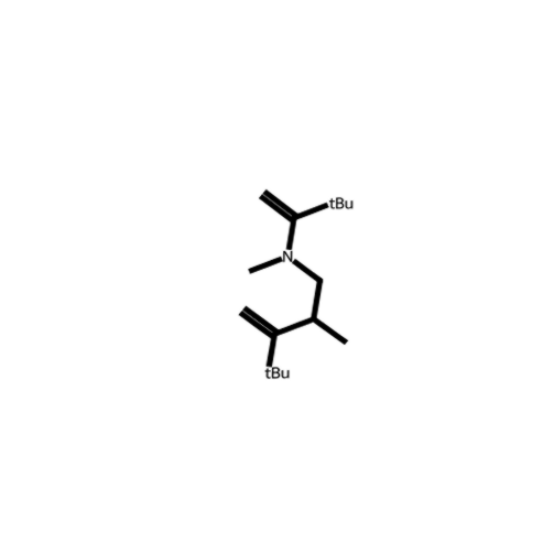 C=C(C(C)CN(C)C(=C)C(C)(C)C)C(C)(C)C